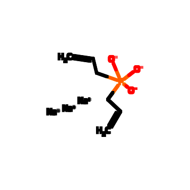 C=CCP([O-])([O-])([O-])CC=C.[Na+].[Na+].[Na+]